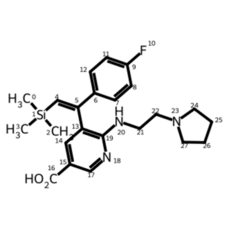 C[Si](C)(C)C=C(c1ccc(F)cc1)c1cc(C(=O)O)cnc1NCCN1CCCC1